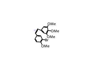 COc1ccc(/C=C\c2cc(OC)c(OC)c(OC)c2)cc1Br